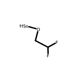 FC(F)C[O][SnH]